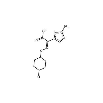 Nc1nc(C(=NOC2CCC(Cl)CC2)C(=O)O)cs1